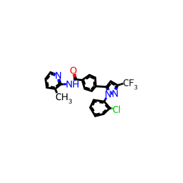 Cc1cccnc1NC(=O)c1ccc(-c2cc(C(F)(F)F)nn2-c2ccccc2Cl)cc1